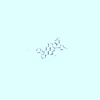 Cc1ccc2c(c1)-c1cc(C(F)(F)F)cc3c1B2c1cc2c(C(C)C)cc4c5c(cc6c(C(C)C)cc-3c1c6c25)B1c2ccc(C(F)(F)F)cc2-c2cc(C(F)(F)F)cc-4c21